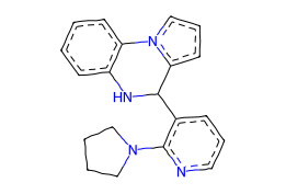 c1ccc2c(c1)NC(c1cccnc1N1CCCC1)c1cccn1-2